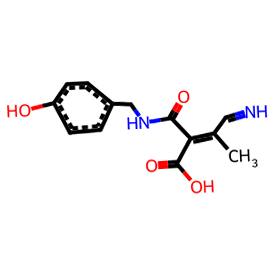 C/C(C=N)=C(\C(=O)O)C(=O)NCc1ccc(O)cc1